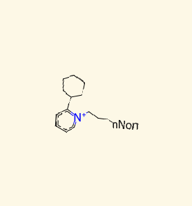 CCCCCCCCCCCC[n+]1ccccc1C1CCCCC1